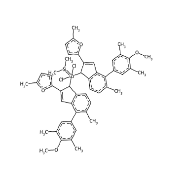 COc1c(C)cc(-c2c(C)ccc3c2C=C(c2ccc(C)o2)[CH]3[Zr]([Cl])([Cl])([CH]2C(c3ccc(C)o3)=Cc3c2ccc(C)c3-c2cc(C)c(OC)c(C)c2)=[Si](C)C)cc1C